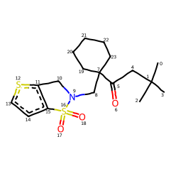 CC(C)(C)CC(=O)C1(CN2Cc3sccc3S2(=O)=O)CCCCC1